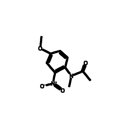 COc1ccc(N(C)C(C)=O)c([N+](=O)[O-])c1